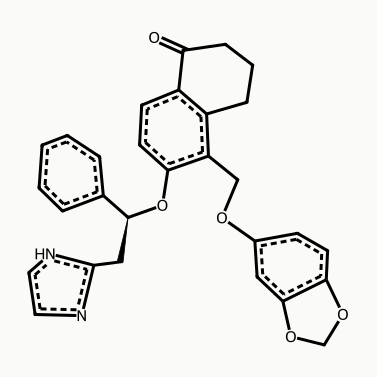 O=C1CCCc2c1ccc(O[C@@H](Cc1ncc[nH]1)c1ccccc1)c2COc1ccc2c(c1)OCO2